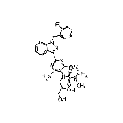 CN(C)S(=O)(=O)N(CC(O)CO)c1c(N)nc(-c2nn(Cc3ccccc3F)c3ncccc23)nc1N